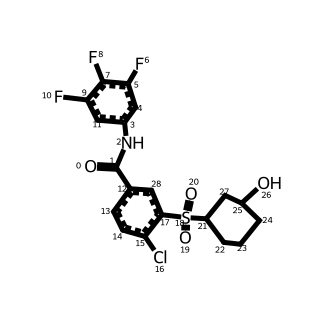 O=C(Nc1cc(F)c(F)c(F)c1)c1ccc(Cl)c(S(=O)(=O)C2CCCC(O)C2)c1